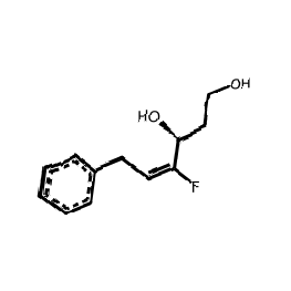 OCC[C@H](O)/C(F)=C\Cc1ccccc1